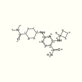 CN(C)C(=O)C1CCC(Nc2ncc(C(N)=O)c(NC3(C)CCC3)n2)CC1